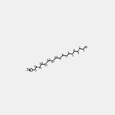 CCCCCCCCCCCCCCCCCC[2O]